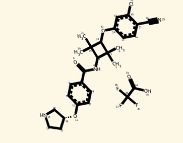 CC1(C)C(NC(=O)c2ccc(O[C@@H]3CCNC3)cc2)C(C)(C)C1Oc1ccc(C#N)c(Cl)c1.O=C(O)C(F)(F)F